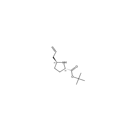 C=CC[C@@H]1CC[C@@H](C(=O)OC(C)(C)C)N1